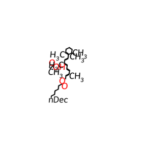 CCC(=O)O.CCCCCCCCCCCCCCCC(=O)OCC=C(C)C=CC=C(C)C=CC1=C(C)CCCC1(C)C